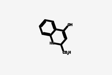 O=C(O)C1C=C(O)c2ccccc2N1